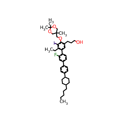 CCCCCC1CCC(c2ccc(-c3ccc(-c4cc(CCCO)c(OCC5(C)COC(C)(C)OC5)c(I)c4CC)c(F)c3)cc2)CC1